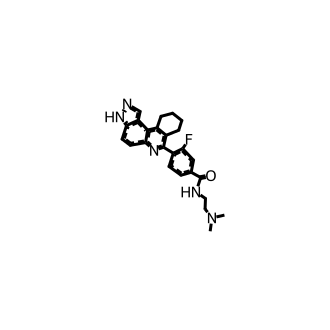 CN(C)CCNC(=O)c1ccc(-c2nc3ccc4[nH]ncc4c3c3c2CCCC3)c(F)c1